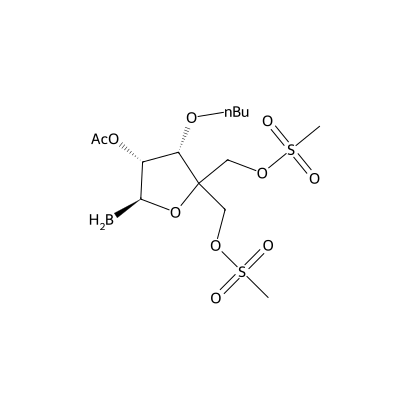 B[C@@H]1OC(COS(C)(=O)=O)(COS(C)(=O)=O)[C@@H](OCCCC)[C@H]1OC(C)=O